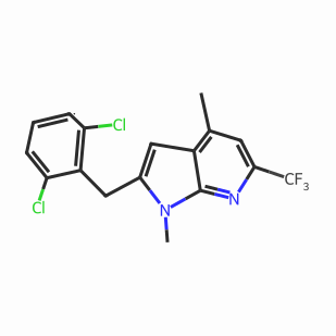 Cc1cc(C(F)(F)F)nc2c1cc(Cc1c(Cl)[c]ccc1Cl)n2C